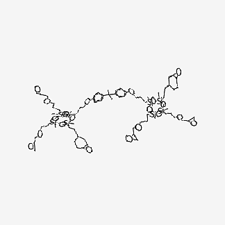 CC(C)(c1ccc(OCCC[Si]2(C)O[Si](C)(CCCOCC3CO3)O[Si](C)(CCCOCC3CO3)O[Si](C)(CCC3CCC4OC4C3)O2)cc1)c1ccc(OCCC[Si]2(C)O[Si](C)(CCCOCC3CO3)O[Si](C)(CCCOCC3CO3)O[Si](C)(CCC3CCC4OC4C3)O2)cc1